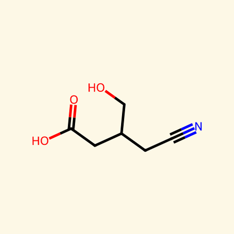 N#CCC(CO)CC(=O)O